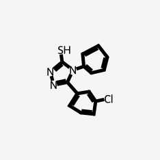 Sc1nnc(-c2cccc(Cl)c2)n1-c1ccccc1